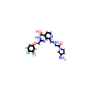 N[C@@H]1CCN(C(=O)CNCc2nccc3c2N=C(COc2ccc(F)c(Cl)c2)NC3O)C1